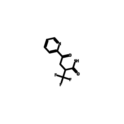 O=C(CC(C(=O)S)C(F)(F)F)c1ccccn1